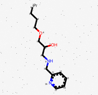 CC(C)CCCOCC(O)CNCc1ccccn1